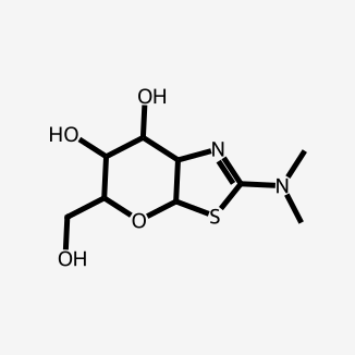 CN(C)C1=NC2C(OC(CO)C(O)C2O)S1